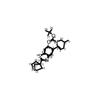 CC1CC=C(c2ccc3sc(C45CCN(CC4)C5)nc3c2)N(C(=O)OC(C)(C)C)C1